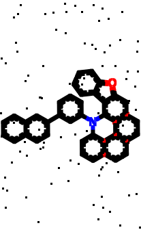 c1ccc(-c2ccccc2N(c2cccc(-c3ccc4ccccc4c3)c2)c2c(-c3ccccc3)ccc3oc4ccccc4c23)cc1